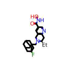 CC[C@@H]1Cc2ncc(C(=O)NO)cc2CN1CC12CC3CC(CC(F)(C3)C1)C2